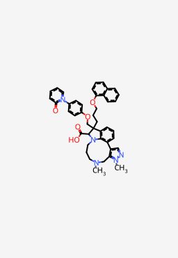 CN1CCCN2c3c(cccc3C(CCCOc3cccc4ccccc34)(COc3ccc(-n4ccccc4=O)cc3)C2C(=O)O)-c2cnn(C)c2C1